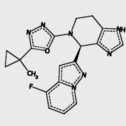 CC1(c2nnc(N3CCc4[nH]cnc4[C@H]3c3cc4c(F)cccn4n3)o2)CC1